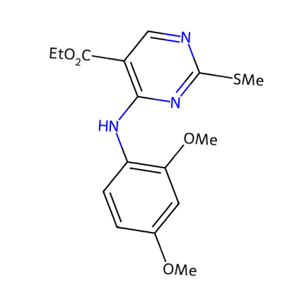 CCOC(=O)c1cnc(SC)nc1Nc1ccc(OC)cc1OC